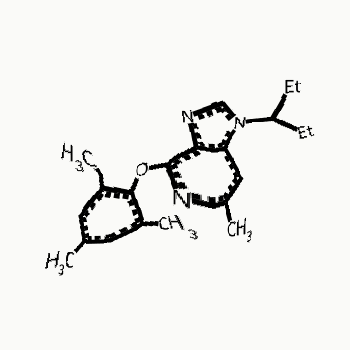 CCC(CC)n1cnc2c(Oc3c(C)cc(C)cc3C)nc(C)cc21